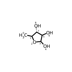 CC1OC(O)C(O)[C@H]1O